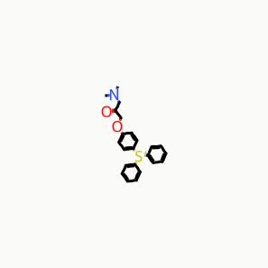 CN(C)CC(=O)COc1ccc([S+](c2ccccc2)c2ccccc2)cc1